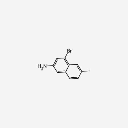 Cc1ccc2cc(N)cc(Br)c2c1